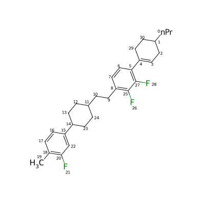 CCCC1CC=C(c2ccc(CCC3CCC(c4ccc(C)c(F)c4)CC3)c(F)c2F)CC1